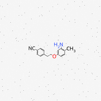 Cc1ccc(OCCc2ccc(C#N)cc2)cc1N